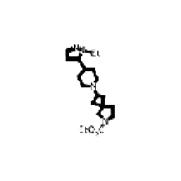 CCOC(=O)N1CCC2(CC(N3CCC(c4ccnn4CC)CC3)C2)C1